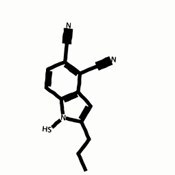 CCCc1cc2c(C#N)c(C#N)ccc2n1S